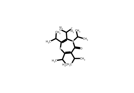 CC(C)C1=C(C(C)C)C(=O)N(C(C)C)C(C(C)C)=C(C(C)C)S1